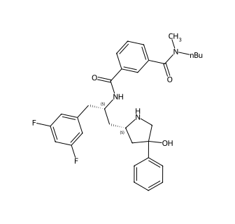 CCCCN(C)C(=O)c1cccc(C(=O)N[C@@H](Cc2cc(F)cc(F)c2)C[C@H]2CC(O)(c3ccccc3)CN2)c1